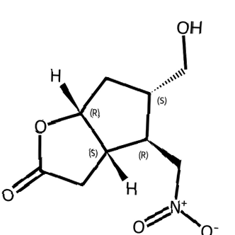 O=C1C[C@H]2[C@H](C[N+](=O)[O-])[C@@H](CO)C[C@H]2O1